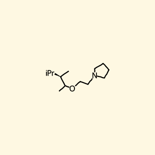 CC(C)[C@@H](C)C(C)OCCN1CCCC1